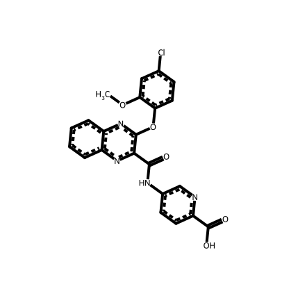 COc1cc(Cl)ccc1Oc1nc2ccccc2nc1C(=O)Nc1ccc(C(=O)O)nc1